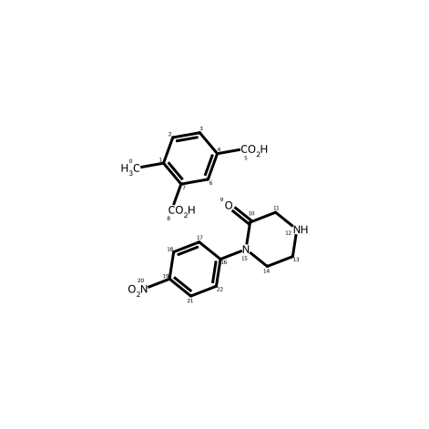 Cc1ccc(C(=O)O)cc1C(=O)O.O=C1CNCCN1c1ccc([N+](=O)[O-])cc1